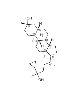 C[C@H](CCC(C)(O)C1CC1)[C@H]1CC[C@H]2[C@@H]3CC[C@H]4C[C@@](C)(O)CC[C@]4(C)[C@H]3CC[C@]12C